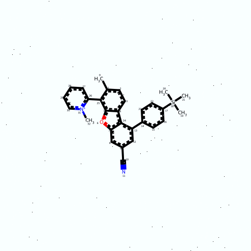 Cc1ccc2c(oc3cc(C#N)cc(-c4ccc([Si](C)(C)C)cc4)c32)c1-c1cccc[n+]1C